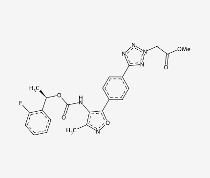 COC(=O)Cn1nnc(-c2ccc(-c3onc(C)c3NC(=O)O[C@H](C)c3ccccc3F)cc2)n1